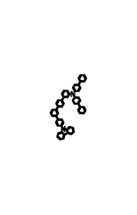 C1=C(c2ccccc2)CCC(N(c2ccc(-c3ccccc3)cc2)c2cccc(-c3ccc(-c4cccc(-c5ccc(-n6c7ccccc7c7ccccc76)cc5)c4)cc3)c2)=C1